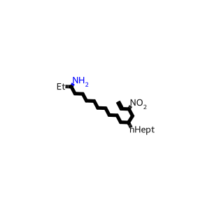 C=CC(CC(CCCCCCC)CCCCCCCCCC(N)CC)[N+](=O)[O-]